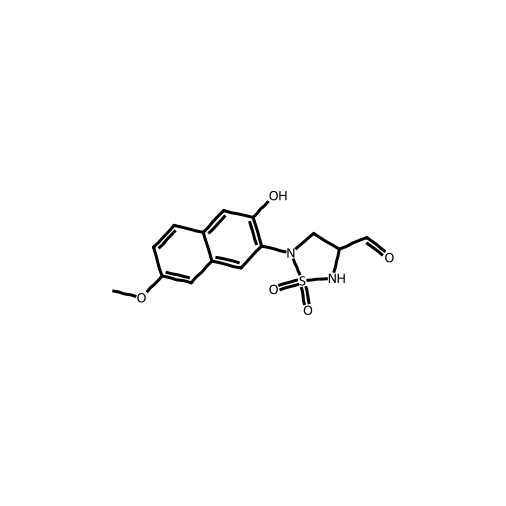 COc1ccc2cc(O)c(N3CC(C=O)NS3(=O)=O)cc2c1